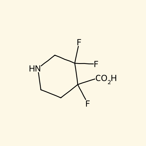 O=C(O)C1(F)CCNCC1(F)F